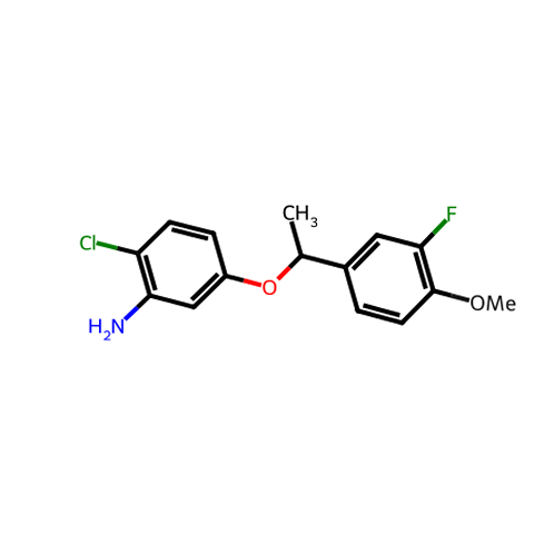 COc1ccc(C(C)Oc2ccc(Cl)c(N)c2)cc1F